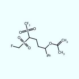 C=C(C)OC(CCC(S(=O)(=O)CF)S(=O)(=O)C(F)(F)F)C(C)C